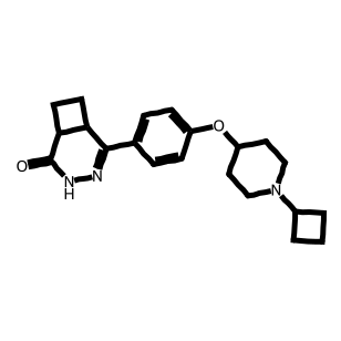 O=C1NN=C(c2ccc(OC3CCN(C4CCC4)CC3)cc2)C2CCC12